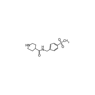 CS(=O)(=O)c1ccc(CNC(=O)C2CCNCC2)cc1